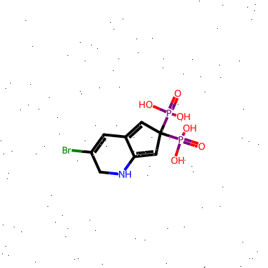 O=P(O)(O)C1(P(=O)(O)O)C=C2C=C(Br)CNC2=C1